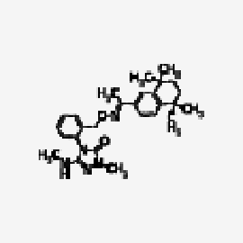 CNc1nn(C)c(=O)n1-c1ccccc1CON=C(C)c1ccc2c(c1)C(C)(C)CCC2(C)C